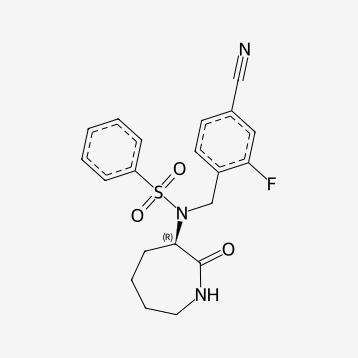 N#Cc1ccc(CN([C@@H]2CCCCNC2=O)S(=O)(=O)c2ccccc2)c(F)c1